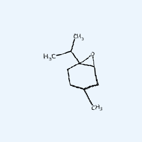 CC1CCC2(C(C)C)OC2C1